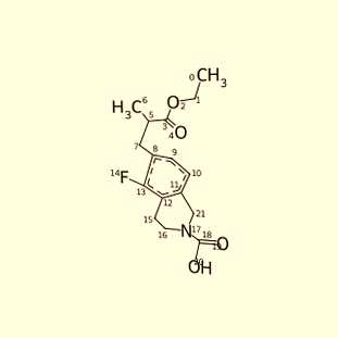 CCOC(=O)C(C)Cc1ccc2c(c1F)CCN(C(=O)O)C2